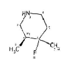 C[C@H]1CNCCC1(C)F